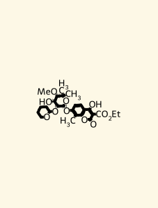 CCOC(=O)c1c(O)c2ccc(O[C@@H]3OC(C)(C)[C@H](OC)[C@H](O)[C@H]3OC3CCCCO3)c(C)c2oc1=O